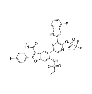 CCS(=O)(=O)Nc1cc2oc(-c3ccc(F)cc3)c(C(=O)NC)c2cc1-c1cnc(OS(=O)(=O)C(F)(F)F)c(-c2cc3c(F)cccc3[nH]2)n1